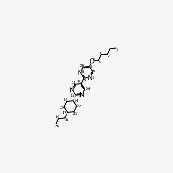 CCCCCOc1cnc(-c2cnc([C@H]3CC[C@H](CCC)CC3)nc2)nc1